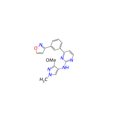 COc1nn(C)cc1Nc1nccc(-c2cccc(-c3ccon3)c2)n1